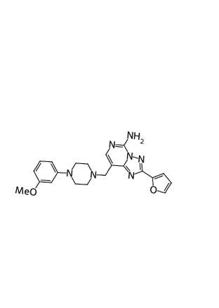 COc1cccc(N2CCN(Cc3cnc(N)n4nc(-c5ccco5)nc34)CC2)c1